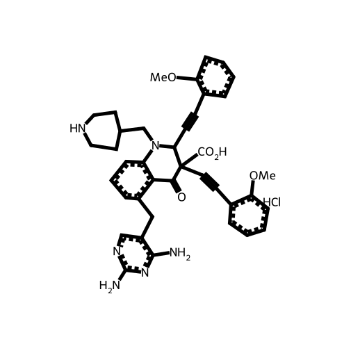 COc1ccccc1C#CC1N(CC2CCNCC2)c2cccc(Cc3cnc(N)nc3N)c2C(=O)C1(C#Cc1ccccc1OC)C(=O)O.Cl